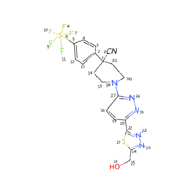 N#CC1(c2ccc(S(F)(F)(F)(F)F)cc2)CCN(c2ccc(-c3nnc(CO)s3)nn2)CC1